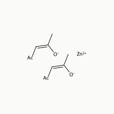 CC(=O)/C=C(/C)[O-].CC(=O)/C=C(/C)[O-].[Zn+2]